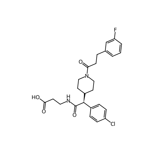 O=C(O)CCNC(=O)[C@H](c1ccc(Cl)cc1)C1CCN(C(=O)CCc2cccc(F)c2)CC1